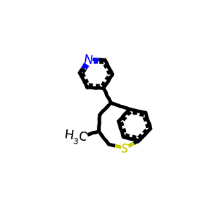 CC1CSc2ccc(cc2)C(c2ccncc2)C1